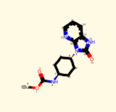 CC(C)(C)OC(=O)N[C@H]1CC[C@H](n2c(=O)[nH]c3cccnc32)CC1